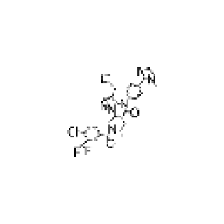 C[C@H]1Cc2c(n3ncc(CC4CCC4)c3n(-c3ccc(-c4nccn4C)cc3)c2=O)CN1C(=O)c1ccc(Cl)c(C(F)(F)F)c1